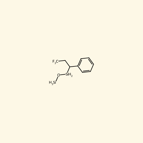 FC(F)(F)CC([SiH2]O[SiH3])c1ccccc1